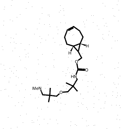 CNCC(C)(C)COCC(C)(C)CNC(=O)OCC1[C@H]2CC/C=C\CC[C@@H]12